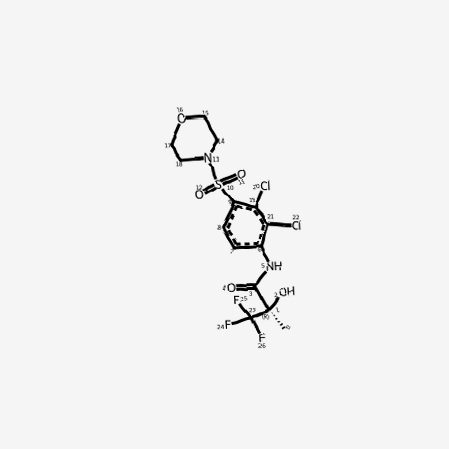 C[C@@](O)(C(=O)Nc1ccc(S(=O)(=O)N2CCOCC2)c(Cl)c1Cl)C(F)(F)F